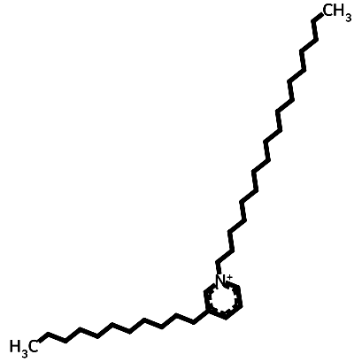 CCCCCCCCCCCCCCCCCC[n+]1cccc(CCCCCCCCCCC)c1